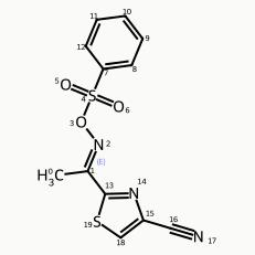 C/C(=N\OS(=O)(=O)c1ccccc1)c1nc(C#N)cs1